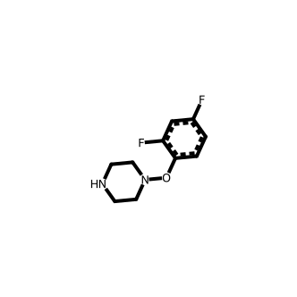 Fc1ccc(ON2CCNCC2)c(F)c1